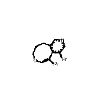 CC(C)/C1=C/OCCCc2cncc(C(C)C)c21